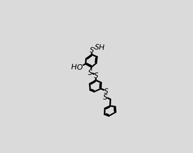 Oc1cc(SS)ccc1SSc1cccc(SSCc2ccccc2)c1